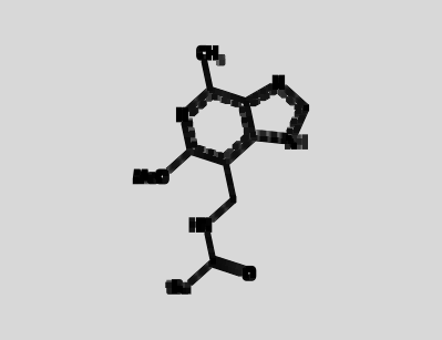 COc1nc(C)c2nc[nH]c2c1CNC(=O)C(C)(C)C